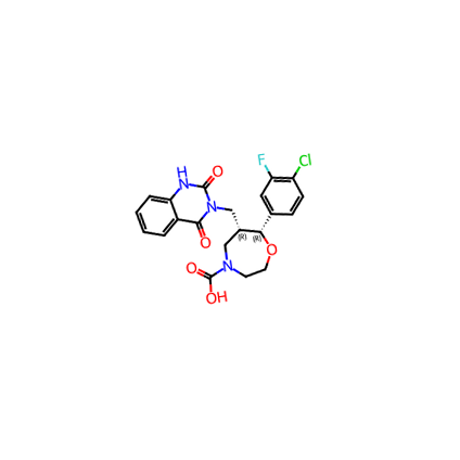 O=C(O)N1CCO[C@@H](c2ccc(Cl)c(F)c2)[C@@H](Cn2c(=O)[nH]c3ccccc3c2=O)C1